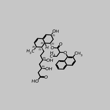 CCC(Oc1c(C)ccc2ccccc12)C(=O)O[C@H]1C[C@H](O)C=C2C=C[C@H](C)[C@H](CC[C@@H](O)C[C@@H](O)CC(=O)O)[C@H]21